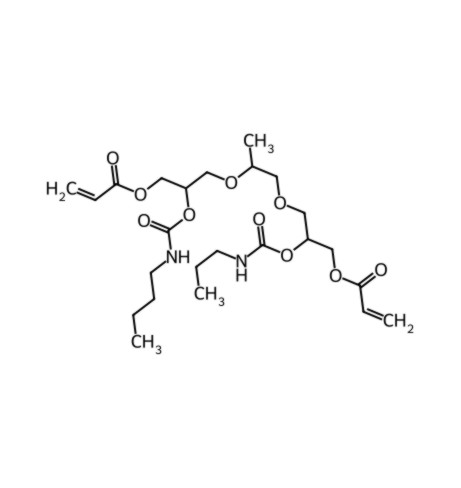 C=CC(=O)OCC(COCC(C)OCC(COC(=O)C=C)OC(=O)NCCCC)OC(=O)NCCC